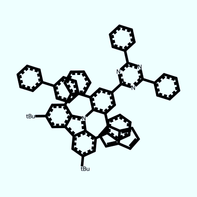 CC(C)(C)c1cc(-c2ccccc2)c2c(c1)c1cc(C(C)(C)C)cc(-c3ccccc3)c1n2-c1c(C2=CC=C3C=CC=C32)cc(-c2nc(-c3ccccc3)nc(-c3ccccc3)n2)cc1-c1ccc(-c2ccccc2)cc1